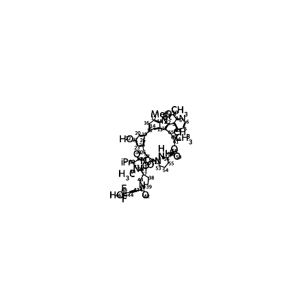 CCn1c(-c2cccnc2[C@H](C)OC)c2c3cc(ccc31)-c1cc(O)cc(c1)C[C@H](NC(=O)C(C(C)C)N(C)C(=O)[C@H]1CCN(C(=O)C#CC(O)(F)F)C1)C(=O)N1CCC[C@H](N1)C(=O)OCC(C)(C)C2